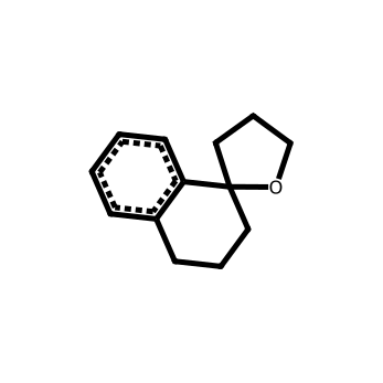 c1ccc2c(c1)CCCC21CCCO1